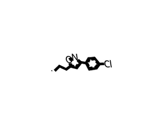 [CH2]CCc1cc(-c2ccc(Cl)cc2)no1